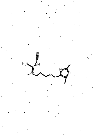 Cc1nc(CSCCC[N+](C)=C(N)NC#N)c(C)o1